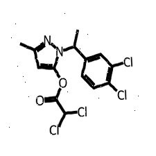 Cc1cc(OC(=O)C(Cl)Cl)n(C(C)c2ccc(Cl)c(Cl)c2)n1